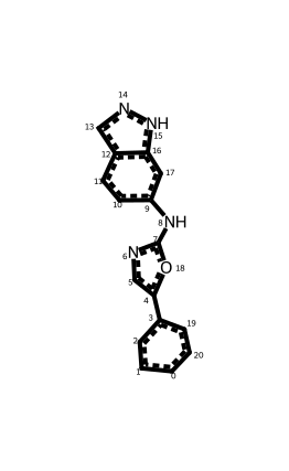 c1ccc(-c2cnc(Nc3ccc4cn[nH]c4c3)o2)cc1